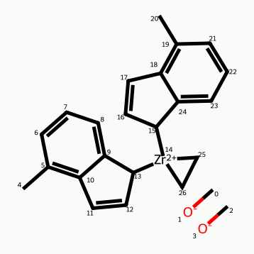 C[O-].C[O-].Cc1cccc2c1C=C[CH]2[Zr+2]1([CH]2C=Cc3c(C)cccc32)[CH2][CH2]1